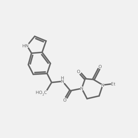 CCN1CCN(C(=O)NC(C(=O)O)c2ccc3[nH]ccc3c2)C(=O)C1=O